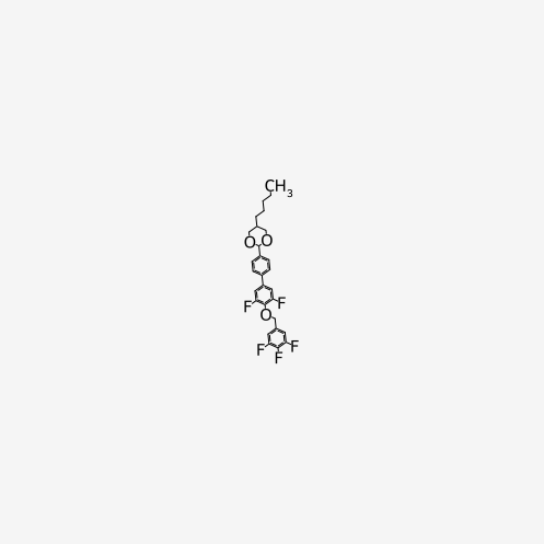 CCCCCC1COC(c2ccc(-c3cc(F)c(OCc4cc(F)c(F)c(F)c4)c(F)c3)cc2)OC1